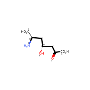 N[C@@H](C[C@@H](O)CC(=O)C(=O)O)C(=O)O